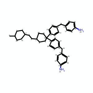 CC1CCC(CCC2CCC(c3ccc(Cc4ccc(N)cc4)cc3)(c3ccc(Cc4ccc(N)cc4)cc3)CC2)CC1